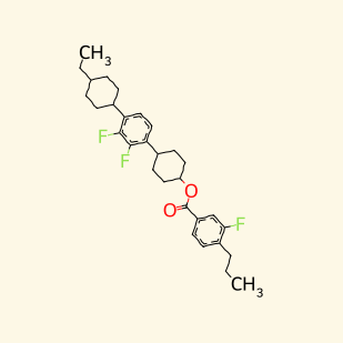 CCCc1ccc(C(=O)OC2CCC(c3ccc(C4CCC(CC)CC4)c(F)c3F)CC2)cc1F